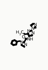 CCc1nc(-n2ccnc2)ncc1NC(=O)c1nccn1Cc1ccccc1